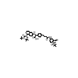 CC(C)(C)OC(=O)N(OC(C)(C)C)c1nccc2cc(NC(C(=O)O)c3ccc(CCCC(=O)Nc4ccc(S(=O)(=O)C(C)(C)C)c(C#N)c4)cc3)ccc12